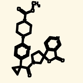 COC(=O)N1CCN(c2ccc(C3(C(=O)N4CCC5(C4)OC(=O)c4cnccc45)CC3)cn2)CC1